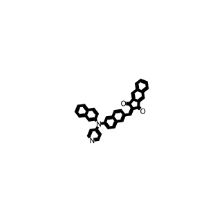 O=C1C(=Cc2ccc3cc(N(c4ccncc4)c4ccc5ccccc5c4)ccc3c2)C(=O)c2cc3ccccc3cc21